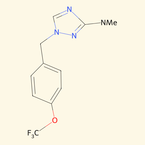 CNc1ncn(Cc2ccc(OC(F)(F)F)cc2)n1